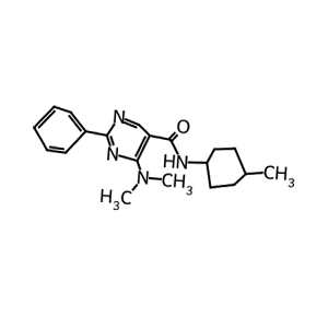 CC1CCC(NC(=O)c2cnc(-c3ccccc3)nc2N(C)C)CC1